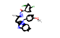 COc1ccc(Cn2c(CC(C)NC(=O)c3ccc(Cl)cc3Cl)nc3ccccc32)cc1